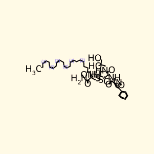 CC/C=C\C/C=C\C/C=C\C/C=C\C/C=C\C/C=C\CCC(=O)NC(CSSC(C)(C)C(NC(=O)c1cc(-c2ccccc2)on1)C(=O)NCC(O)CO)C(N)=O